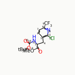 COC(=O)C(Cc1ccc(C(F)(F)F)nc1Cl)NC(=O)OC(C)(C)C